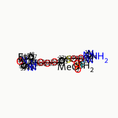 BP(=O)(OC)O[C@H]1[C@@H](F)[C@H](n2cnc3c(N)ncnc32)O[C@@H]1COCSCc1ccc(COCCOCCOCCn2nnc3c2-c2ccccc2CN(C(=O)CC)c2ccccc2-3)cc1